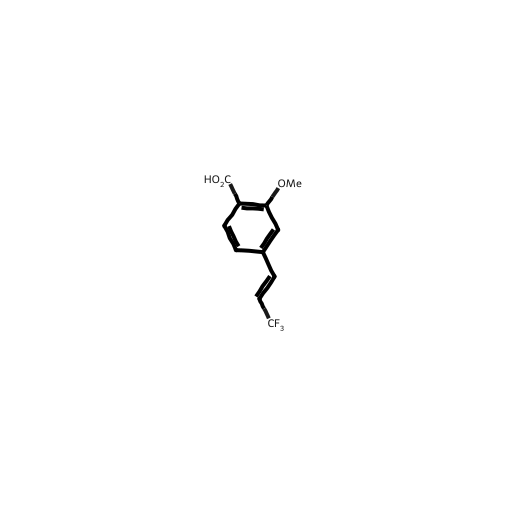 COc1cc(C=CC(F)(F)F)ccc1C(=O)O